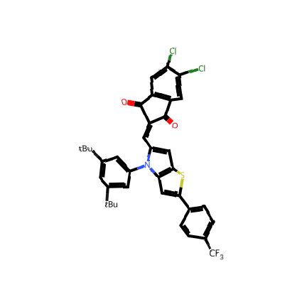 CC(C)(C)c1cc(-n2c(C=C3C(=O)c4cc(Cl)c(Cl)cc4C3=O)cc3sc(-c4ccc(C(F)(F)F)cc4)cc32)cc(C(C)(C)C)c1